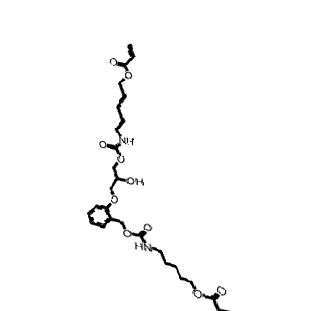 C=CC(=O)OCCCCCNC(=O)OCc1ccccc1OCC(O)COC(=O)NCCCCCOC(=O)C=C